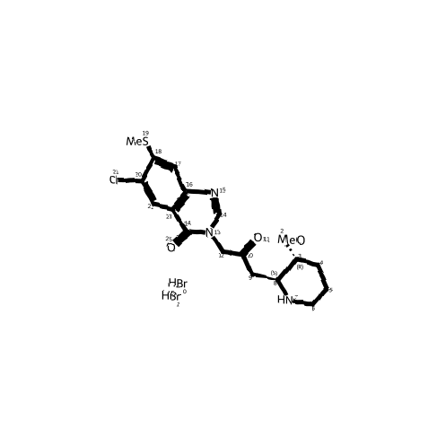 Br.Br.CO[C@@H]1CCCN[C@H]1CC(=O)Cn1cnc2cc(SC)c(Cl)cc2c1=O